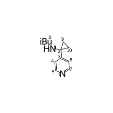 CCC(C)NC1(c2ccncc2)CC1